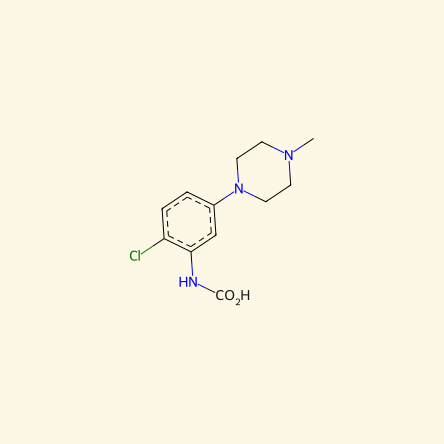 CN1CCN(c2ccc(Cl)c(NC(=O)O)c2)CC1